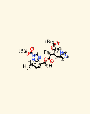 C=C/C=C\[C@H](C(C)/N=C\NC(=O)OC(C)(C)C)[C@H](C)OC(=O)C(CC)[C@H](COC(=O)C(C)(C)C)Cc1cncn1C